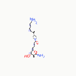 C=C(C(N)=O)\C(O)=C/C=C/C=C/C(=O)N1CCC(C(=C)/C=C\C=C\CN)CC1